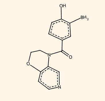 Bc1cc(C(=O)N2CCOc3ccncc32)ccc1O